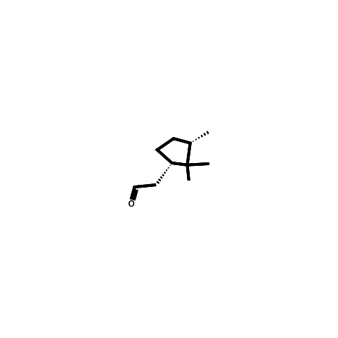 C[C@H]1CC[C@@H](CC=O)C1(C)C